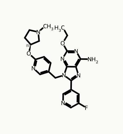 CCOc1nc(N)c2nc(-c3cncc(F)c3)n(Cc3ccc(O[C@H]4CCN(C)C4)nc3)c2n1